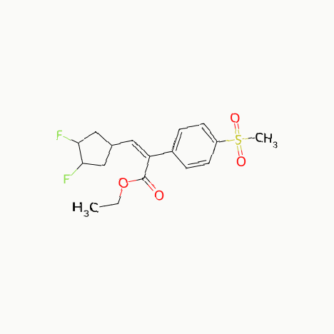 CCOC(=O)C(=CC1CC(F)C(F)C1)c1ccc(S(C)(=O)=O)cc1